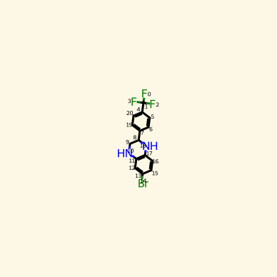 FC(F)(F)c1ccc(C2CNc3cc(Br)ccc3N2)cc1